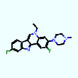 CCn1cc2c3ccc(F)cc3nc-2c2cc(F)c(N3CCN(C)CC3)cc21